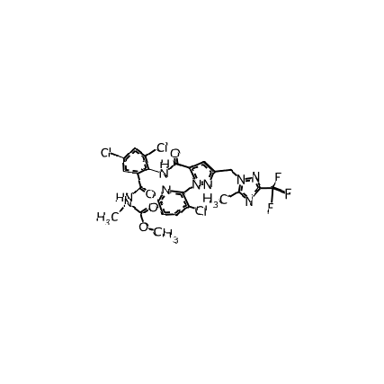 COC(=O)N(C)NC(=O)c1cc(Cl)cc(Cl)c1NC(=O)c1cc(Cn2nc(C(F)(F)F)nc2C)nn1-c1ncccc1Cl